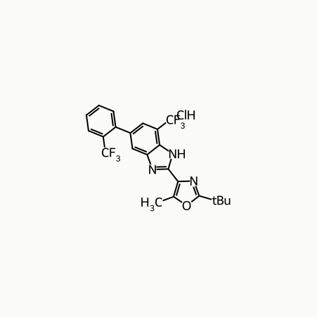 Cc1oc(C(C)(C)C)nc1-c1nc2cc(-c3ccccc3C(F)(F)F)cc(C(F)(F)F)c2[nH]1.Cl